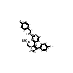 CCOCn1nnc(-c2ccc(F)cc2)c1-c1ccnc(NCc2ccc(C)cc2)n1